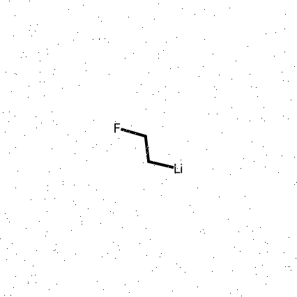 [Li][CH2]CF